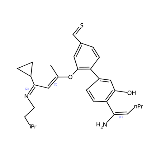 CCC/C=C(/N)c1ccc(-c2ccc(C=S)cc2O/C(C)=C/C(=N\CCC(C)C)C2CC2)cc1O